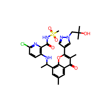 Cc1cc(C(C)Nc2ccc(Cl)nc2C(=O)NS(C)(=O)=O)c2oc(-c3cnn(CC(C)(C)O)c3)c(C)c(=O)c2c1